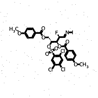 COc1ccc(C(=O)OC[C@@H](OS(=O)(=O)c2cc(Cl)c(Cl)cc2Cl)[C@H](OC(=O)c2ccc(OC)cc2)[C@@H](F)/C=N/I)cc1